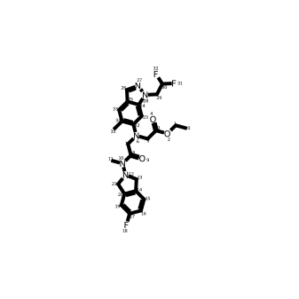 CCOC(=O)CN(CC(=O)N(C)N1Cc2ccc(F)cc2C1)c1cc2c(cnn2CC(F)F)cc1C